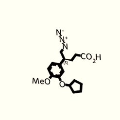 COc1ccc([C@H](CCC(=O)O)CN=[N+]=[N-])cc1OC1CCCC1